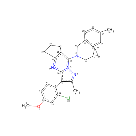 COc1ccc(-c2c(C)nn3c(N(Cc4ccc(C)cc4)CC4CC4)c4c(nc23)CCC4)c(Cl)c1